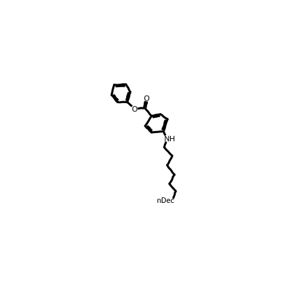 CCCCCCCCCCCCCCCCNc1ccc(C(=O)Oc2ccccc2)cc1